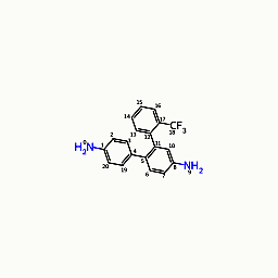 Nc1ccc(-c2ccc(N)cc2-c2ccccc2C(F)(F)F)cc1